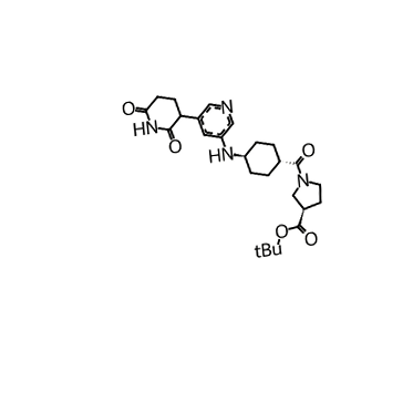 CC(C)(C)OC(=O)[C@@H]1CCN(C(=O)[C@H]2CC[C@H](Nc3cncc(C4CCC(=O)NC4=O)c3)CC2)C1